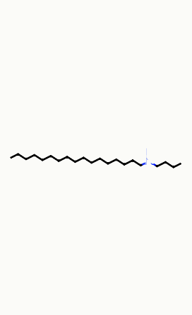 CCCCCCCCCCCCCCCCCNCCCC